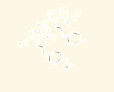 CC(C)P(C=CCc1ccc(F)cc1)C(C)C.CC(C)P(C=CCc1ccc(F)cc1)C(C)C.[Cl-].[Cl-].[Ni+2]